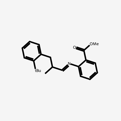 COC(=O)c1ccccc1N=CC(C)Cc1ccccc1C(C)(C)C